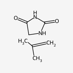 C=C(C)C.O=C1CNC(=O)N1